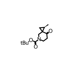 C[C@@H]1CC12CN(C(=O)OC(C)(C)C)CCC2=O